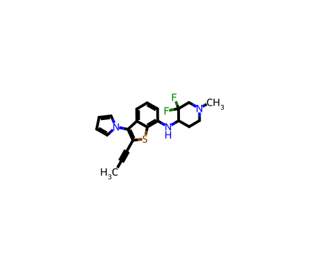 CC#Cc1sc2c(NC3CCN(C)CC3(F)F)cccc2c1-n1cccc1